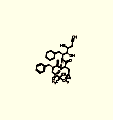 C#CC[C@H](O)[C@H](O)[C@H](CC1CCCCC1)NC(=O)[C@@H](CC1CC1)NC(=O)[C@@H](Cc1ccccc1)CS(=O)(=O)C(C)(C)C